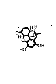 CN1CC[C@]23c4c5c(O)cc(O)c4O[C@H]2C(=O)C=C[C@H]3[C@H]1C5